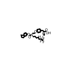 CCOC(Cc1ccc(OCCN(CCCCCCC(F)(F)F)C(=O)Oc2ccc3c(c2)CCC3)cc1)C(=O)O